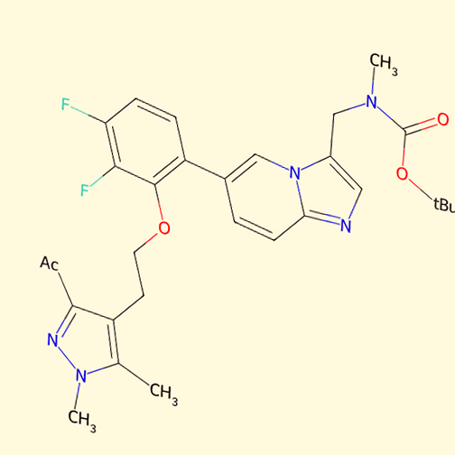 CC(=O)c1nn(C)c(C)c1CCOc1c(-c2ccc3ncc(CN(C)C(=O)OC(C)(C)C)n3c2)ccc(F)c1F